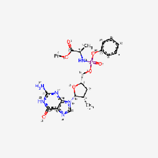 CC(C)OC(=O)[C@@H](C)NP(=O)(OC[C@@H]1C[C@H](C)[C@H](n2cnc3c(=O)[nH]c(N)nc32)O1)Oc1ccccc1